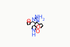 Nc1nc(-c2ccco2)c(-c2cc[nH]c(=O)c2)c(-c2ccco2)n1